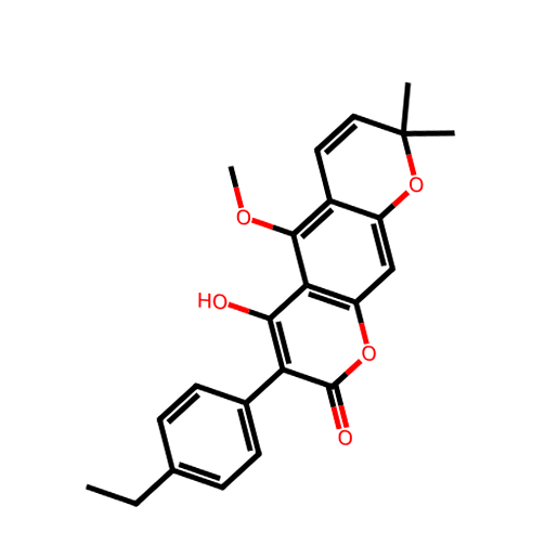 CCc1ccc(-c2c(O)c3c(OC)c4c(cc3oc2=O)OC(C)(C)C=C4)cc1